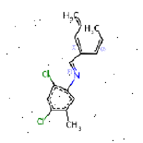 C=C/C=C(\C=C/C)/C=N/c1cc(C)c(Cl)cc1Cl